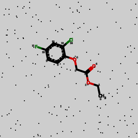 CCOC(=O)COc1c[c]c(F)cc1Cl